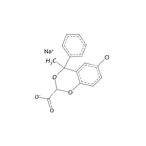 CC1(c2ccccc2)OC(C(=O)[O-])Oc2ccc(Cl)cc21.[Na+]